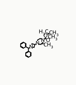 C[C@@H]1CN(C2CN(C(c3ccccc3)c3ccccc3)C2)CCN1C(=O)OC(C)(C)C